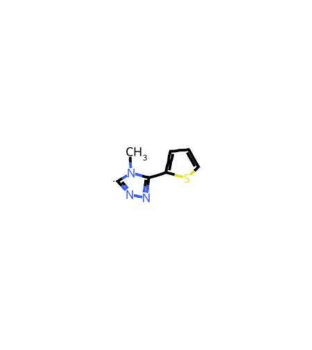 Cn1[c]nnc1-c1cccs1